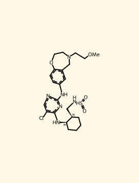 COCCN1CCOc2ccc(Nc3ncc(Cl)c(N[C@@H]4CCCC[C@@H]4CN[SH](=O)=O)n3)cc2C1